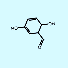 O=[C]C1C=C(O)C=CC1O